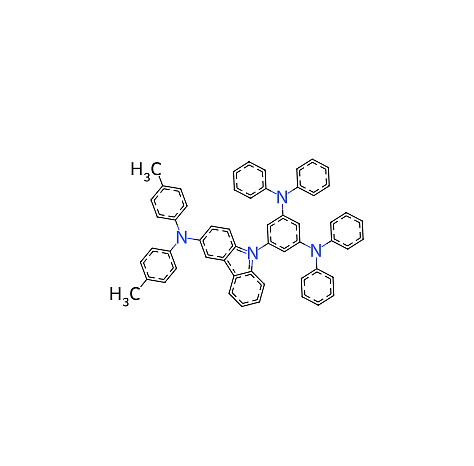 Cc1ccc(N(c2ccc(C)cc2)c2ccc3c(c2)c2ccccc2n3-c2cc(N(c3ccccc3)c3ccccc3)cc(N(c3ccccc3)c3ccccc3)c2)cc1